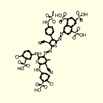 CCS(=O)(=O)Nc1ccc(-c2c(/N=N/c3cc(S(=O)(=O)O)c4cc(S(=O)(=O)O)cc(S(=O)(=O)O)c4c3)sc(N=Nc3c(Nc4ccc(Cl)c(S(=O)(=O)O)c4)nc(Nc4ccc(Cl)c(S(=O)(=O)O)c4)c(C#N)c3C)c2C#N)cc1